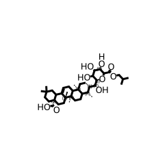 CC(C)COC(=O)C1O[C@@H]([C@H](O)[C@H]2CC[C@@]3(C)C(CC[C@]4(C)C3CC=C3C5CC(C)(C)CC[C@]5(C(=O)O)CC[C@]34C)[C@H]2C)C(O)C(O)[C@@H]1O